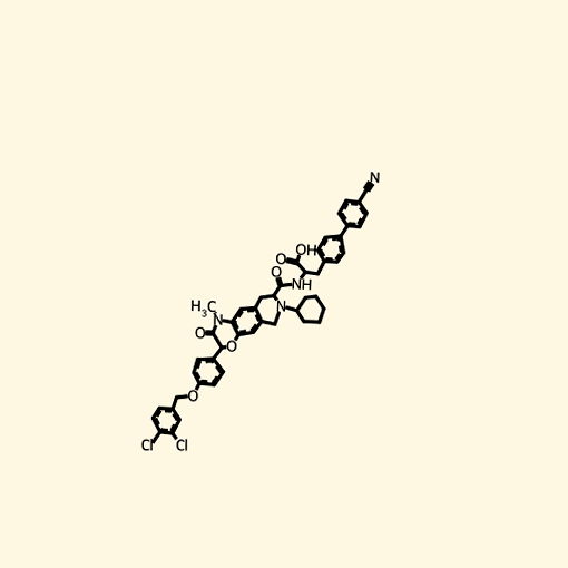 CN1C(=O)C(c2ccc(OCc3ccc(Cl)c(Cl)c3)cc2)Oc2cc3c(cc21)CC(C(=O)NC(Cc1ccc(-c2ccc(C#N)cc2)cc1)C(=O)O)N(C1CCCCC1)C3